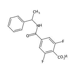 CC(NC(=O)c1cc(F)c(C(=O)O)c(F)c1)c1ccccc1